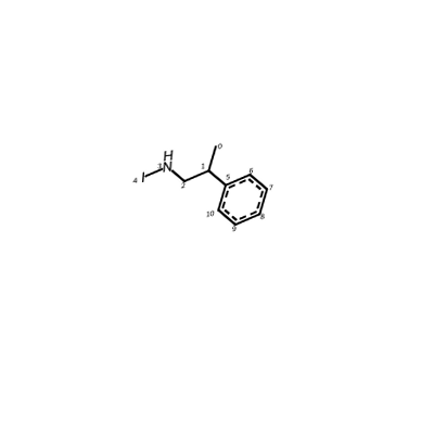 CC(CNI)c1ccccc1